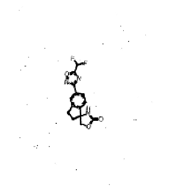 O=C1NC2(CCc3cc(-c4noc(C(F)F)n4)ccc32)CO1